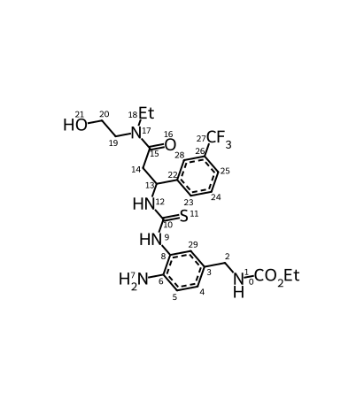 CCOC(=O)NCc1ccc(N)c(NC(=S)NC(CC(=O)N(CC)CCO)c2cccc(C(F)(F)F)c2)c1